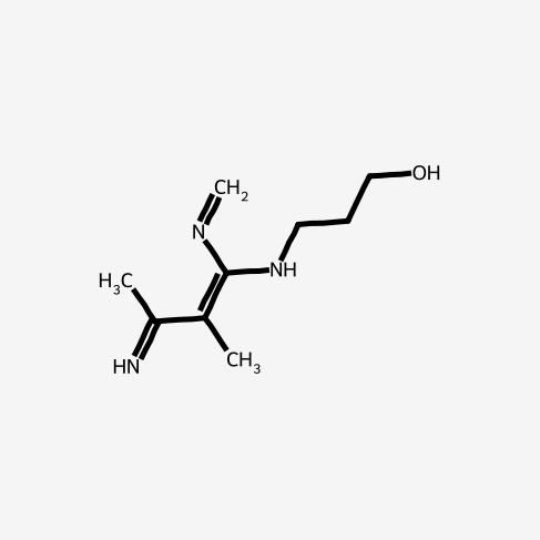 C=N/C(NCCCO)=C(/C)C(C)=N